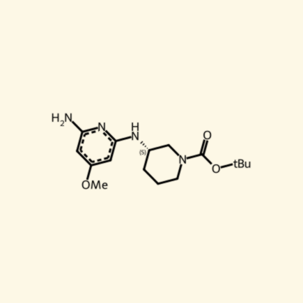 COc1cc(N)nc(N[C@H]2CCCN(C(=O)OC(C)(C)C)C2)c1